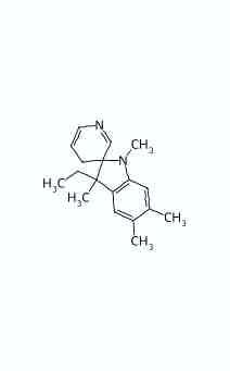 CCC1(C)c2cc(C)c(C)cc2N(C)C12C=NC=CC2